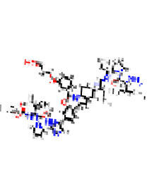 C=C/C(=N\C=C(/C)c1ccc2c(c1)cc1n2C(c2cccc(OCCCO)c2)Oc2cc(-c3cnc([C@@H]4CCCN4C(=O)[C@@H](NC(=O)OC)C(C)C)[nH]3)ccc2-1)[C@@H]1CCCN1C(=O)[C@@H](N)C(C)C